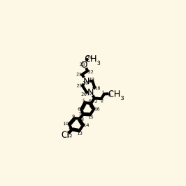 CCCC(c1ccc(-c2ccc(Cl)cc2)cc1)N1CCN(CCOC)CC1